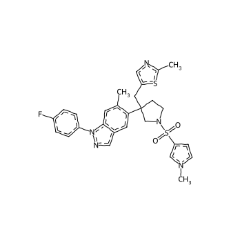 Cc1ncc(CC2(c3cc4cnn(-c5ccc(F)cc5)c4cc3C)CCN(S(=O)(=O)c3ccn(C)c3)C2)s1